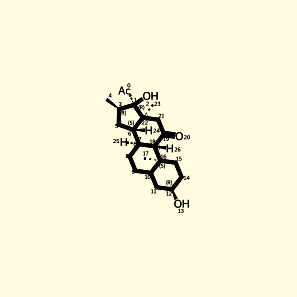 CC(=O)[C@@]1(O)[C@H](C)C[C@H]2[C@@H]3CCC4C[C@H](O)CC[C@]4(C)[C@H]3C(=O)C[C@@]21C